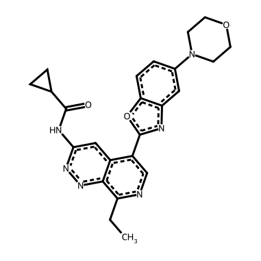 CCc1ncc(-c2nc3cc(N4CCOCC4)ccc3o2)c2cc(NC(=O)C3CC3)nnc12